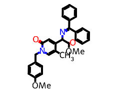 COC(=O)C(N=C(c1ccccc1)c1ccccc1)c1cc(=O)n(Cc2ccc(OC)cc2)cc1C